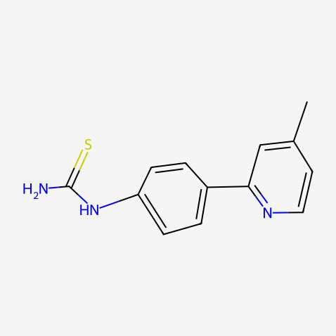 Cc1ccnc(-c2ccc(NC(N)=S)cc2)c1